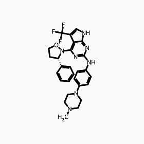 CN1CCN(c2ccc(Nc3nc(N4OCC[C@H]4c4ccccc4)c4c(C(F)(F)F)c[nH]c4n3)cc2)CC1